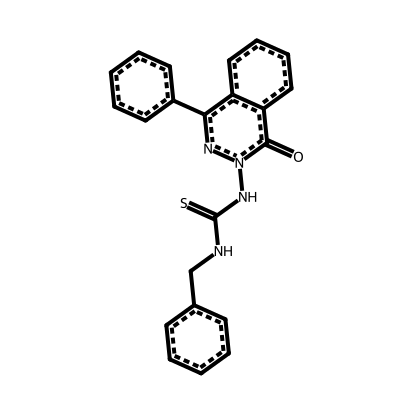 O=c1c2ccccc2c(-c2ccccc2)nn1NC(=S)NCc1ccccc1